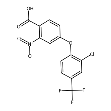 O=C(O)c1ccc(Oc2ccc(C(F)(F)F)cc2Cl)cc1[N+](=O)[O-]